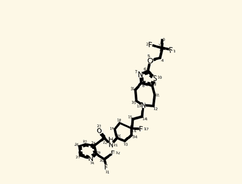 CC(F)(F)COc1nc2c(s1)CCN(CCC1(F)CCC(NC(=O)c3cccnc3C(F)F)CC1)CC2